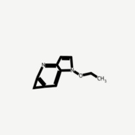 CCOn1ccc2nc3c(cc21)C3